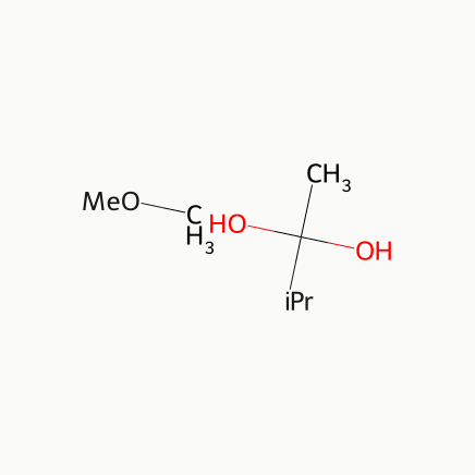 CC(C)C(C)(O)O.COC